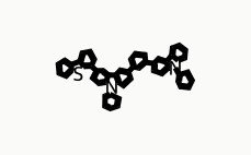 c1ccc(-n2c3ccccc3c3cc(-c4cccc(-c5ccc6c(c5)c5cc(-c7cccc8c7sc7ccccc78)ccc5n6-c5ccccc5)c4)ccc32)cc1